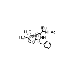 CCC(C)C(NC(C)=O)C(=O)N[C@@H](Cc1ccccc1)C(=O)N[C@@H](C)C(N)=O